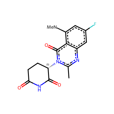 CNc1cc(F)cc2nc(C)n([C@H]3CCC(=O)NC3=O)c(=O)c12